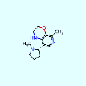 Cc1ncc([C@@H]2CCCN2C)c2c1OCCN2